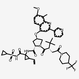 C=CC1CC1(NC(=O)[C@@H]1C[C@@H](Oc2cc(-c3cccnc3)nc3c(C)c(OC)ccc23)CN1C(=O)[C@@H](CC(=O)N1CCC(C(F)(F)F)CC1)C(C)(C)C)C(=O)NS(=O)(=O)C1CC1